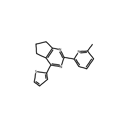 Cc1cccc(-c2nc3c(c(-c4cccs4)n2)CCC3)n1